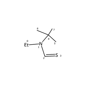 CCN(C=S)C(C)(C)C